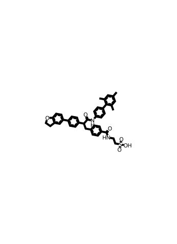 Cc1cc(C)c(-c2ccc(NC(=O)C(Cc3ccc(C(=O)NCCS(=O)(=O)O)cc3)c3ccc(-c4ccc5c(c4)CCO5)cc3)cc2)c(C)c1